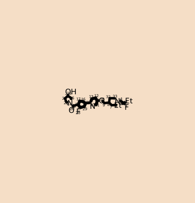 CCC(F)(CC)CN1CCC(COc2ccc(-c3ccc(C(=O)N4CCC(O)C4)c(F)c3)nc2)CC1